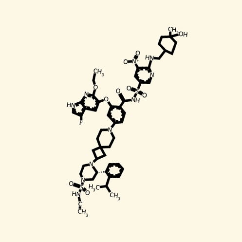 CCNS(=O)(=O)N1CCN(C2CC3(CCN(c4ccc(C(=O)NS(=O)(=O)c5cnc(NCC6CCC(C)(O)CC6)c([N+](=O)[O-])c5)c(Oc5cc6c(F)c[nH]c6nc5OCC)c4)CC3)C2)[C@H](c2ccccc2C(C)C)C1